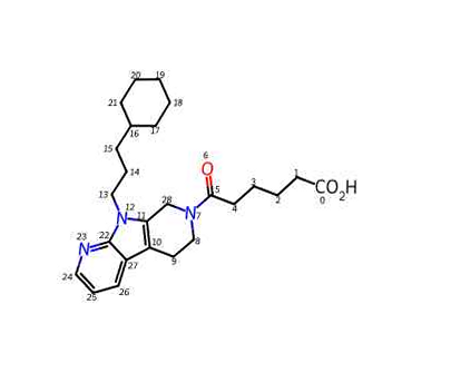 O=C(O)CCCCC(=O)N1CCc2c(n(CCCC3CCCCC3)c3ncccc23)C1